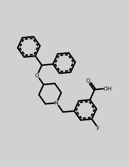 O=C(O)c1cc(F)cc(CN2CCC(OC(c3ccccc3)c3ccccc3)CC2)c1